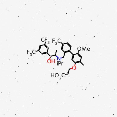 COc1cc(C)c(OCCC(=O)O)cc1-c1ccc(C(F)(F)F)cc1CN(C(C)C)C(C)C(O)c1cc(C(F)(F)F)cc(C(F)(F)F)c1